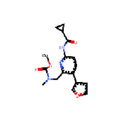 CN(Cc1nc(NC(=O)C2CC2)ccc1-c1ccoc1)C(=O)OC(C)(C)C